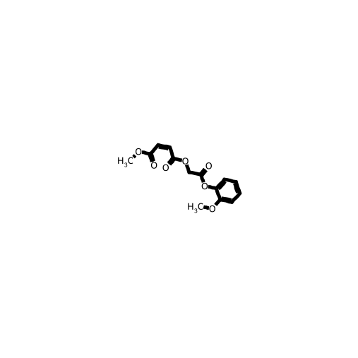 COC(=O)/C=C\C(=O)OCC(=O)Oc1ccccc1OC